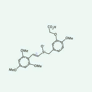 COc1cc(OC)c(/C=C/[S+]([O-])Cc2ccc(OC)c(OCC(=O)O)c2)c(OC)c1